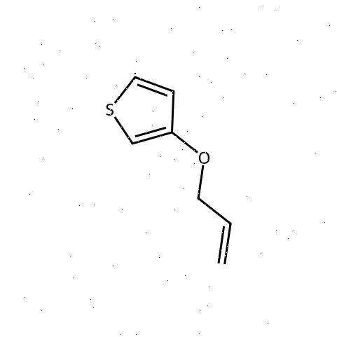 C=CCOc1c[c]sc1